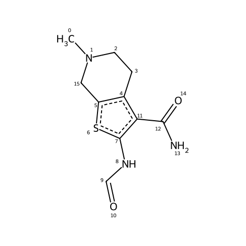 CN1CCc2c(sc(NC=O)c2C(N)=O)C1